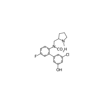 CN1CCCC1CN(C(=O)O)c1ccc(F)cc1-c1cc(O)cc(Cl)c1